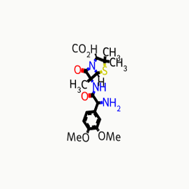 COc1ccc(C(N)C(=O)NC2(C)C(=O)N3[C@@H](C(=O)O)C(C)(C)S[C@@H]32)cc1OC